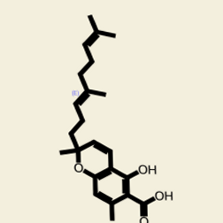 CC(C)=CCC/C(C)=C/CCC1(C)C=Cc2c(cc(C)c(C(=O)O)c2O)O1